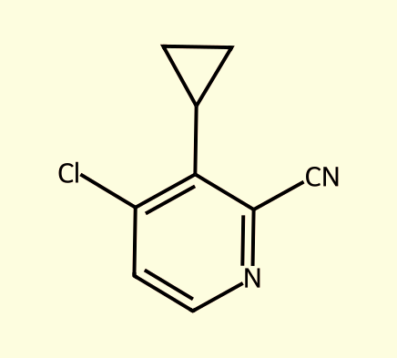 N#Cc1nccc(Cl)c1C1CC1